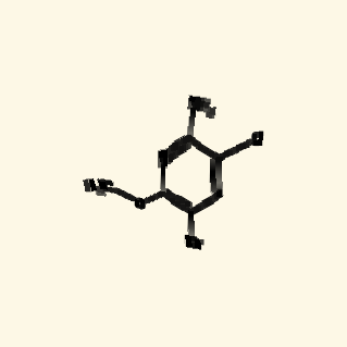 COc1nc(N)c(Cl)cc1Br